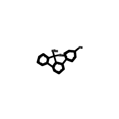 CCCCCCC1(CCCCCC)c2ccccc2-c2cccc(-c3ccc(C#N)cc3)c21